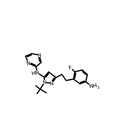 CC(C)(C)n1nc(CCc2cc(N)ccc2F)cc1Nc1cnccn1